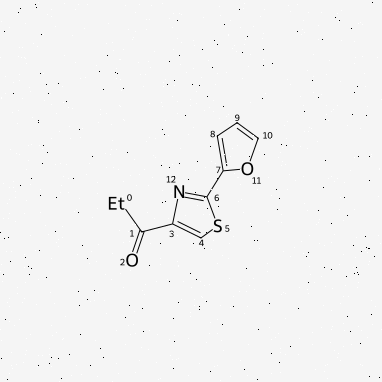 CCC(=O)c1csc(-c2ccco2)n1